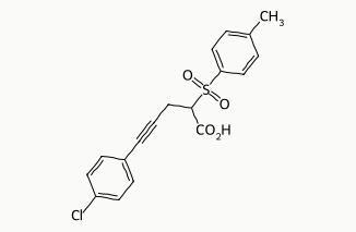 Cc1ccc(S(=O)(=O)C(CC#Cc2ccc(Cl)cc2)C(=O)O)cc1